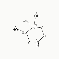 C[C@]1(O)CCNC[C@@H]1O